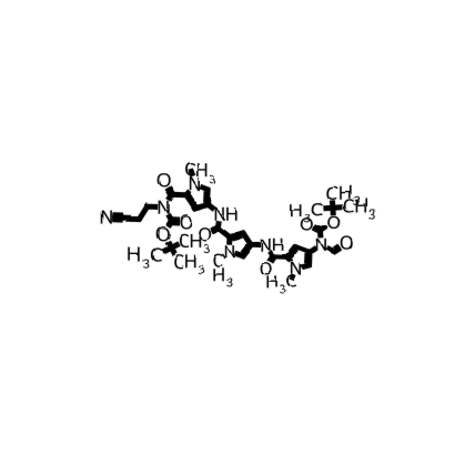 Cn1cc(NC(=O)c2cc(N(C=O)C(=O)OC(C)(C)C)cn2C)cc1C(=O)Nc1cc(C(=O)N(CCC#N)C(=O)OC(C)(C)C)n(C)c1